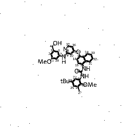 COc1cc(CO)cc(Nc2cc(Oc3ccc(NC(=O)Nc4cc(C(C)(C)C)cc(C)c4OC)c4ccccc34)ccn2)c1